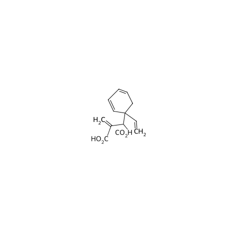 C=CC1(C(C(=C)C(=O)O)C(=O)O)C=CC=CC1